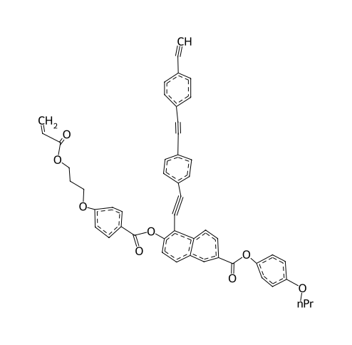 C#Cc1ccc(C#Cc2ccc(C#Cc3c(OC(=O)c4ccc(OCCCOC(=O)C=C)cc4)ccc4cc(C(=O)Oc5ccc(OCCC)cc5)ccc34)cc2)cc1